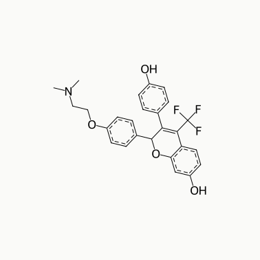 CN(C)CCOc1ccc(C2Oc3cc(O)ccc3C(C(F)(F)F)=C2c2ccc(O)cc2)cc1